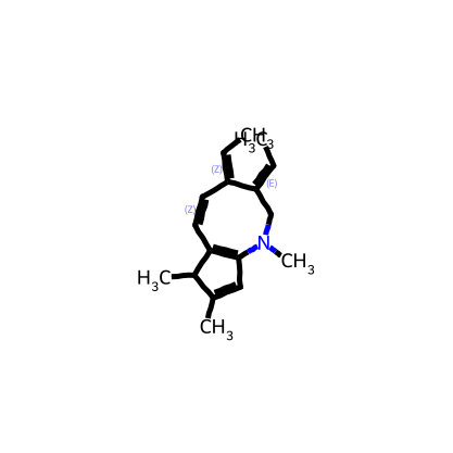 C/C=C1/C=C\C2=C(C=C(C)C2C)N(C)C/C1=C/C